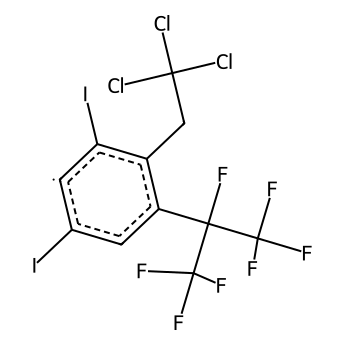 FC(F)(F)C(F)(c1cc(I)[c]c(I)c1CC(Cl)(Cl)Cl)C(F)(F)F